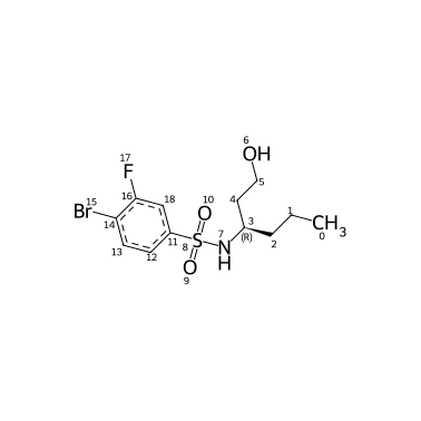 CCC[C@H](CCO)NS(=O)(=O)c1ccc(Br)c(F)c1